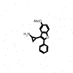 COc1ccc2oc(-c3ccccc3)c(C3CC3N)c2c1